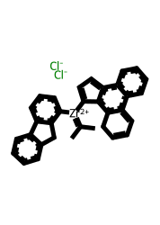 C[C](C)=[Zr+2]([C]1=CC=c2c1c1c(c3ccccc23)=CC=CC1)[c]1cccc2c1Cc1ccccc1-2.[Cl-].[Cl-]